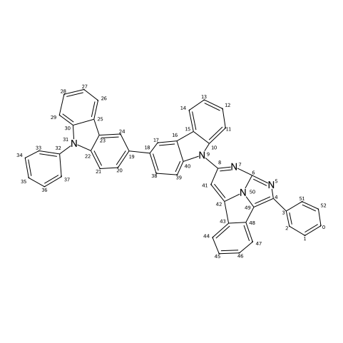 c1ccc(-c2nc3nc(-n4c5ccccc5c5cc(-c6ccc7c(c6)c6ccccc6n7-c6ccccc6)ccc54)cc4c5ccccc5c2n34)cc1